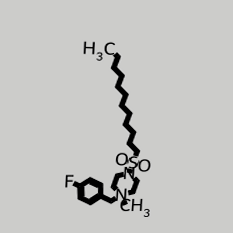 CCCCCCCCCCCCS(=O)(=O)N1CC[N+](C)(Cc2ccc(F)cc2)CC1